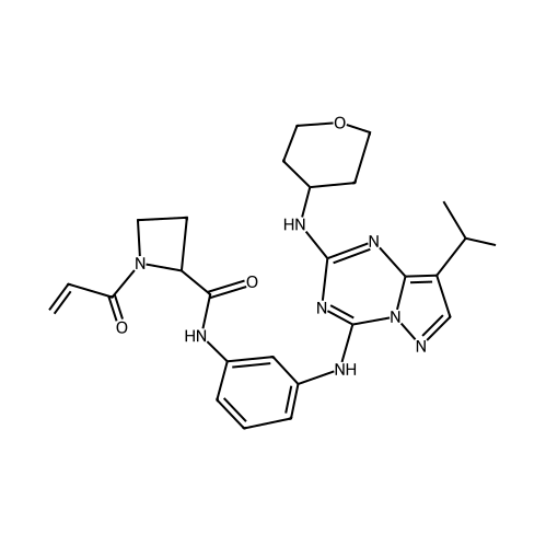 C=CC(=O)N1CCC1C(=O)Nc1cccc(Nc2nc(NC3CCOCC3)nc3c(C(C)C)cnn23)c1